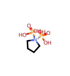 O=P(O)(O)[N+]1(P(=O)(O)O)CCCC1